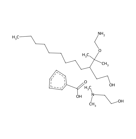 CCCCCCCCCC(CCO)C(C)(C)OCN.CN(C)CCO.O=C(O)c1ccccc1